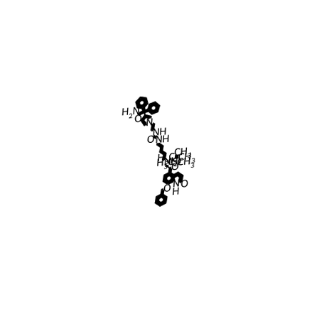 CC(C)(C)[Si](C)(C)O[C@H](CNCCCCCNC(=O)NCCN1CC[C@@H](C(C(N)=O)(c2ccccc2)c2ccccc2)C1)c1ccc(OCc2ccccc2)c2[nH]c(=O)ccc12